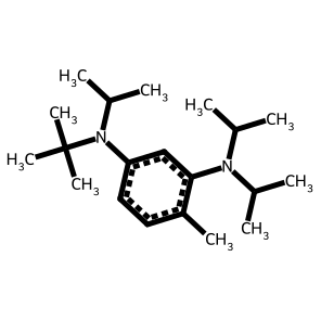 Cc1ccc(N(C(C)C)C(C)(C)C)cc1N(C(C)C)C(C)C